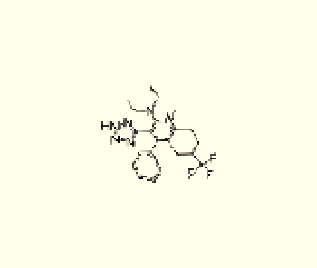 CCN(CC)c1nc2c(c(-c3ccccc3)c1-c1nn[nH]n1)CC(C(F)(F)F)CC2